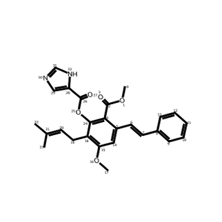 COC(=O)c1c(/C=C/c2ccccc2)cc(OC)c(CC=C(C)C)c1OC(=O)c1cnc[nH]1